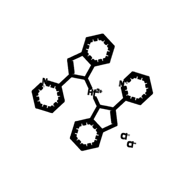 C1=C(c2ccccn2)[CH]([Hf+2][CH]2C(c3ccccn3)=Cc3ccccc32)c2ccccc21.[Cl-].[Cl-]